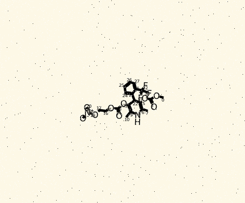 COC(=O)OC1=C(C)NC(C)=C(OC(=O)OCCO[N+](=O)[O-])C1c1ccccc1C(F)(F)F